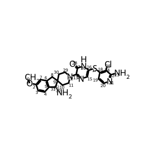 COc1ccc2c(c1)CC1(CCN(c3ncc(Sc4ccnc(N)c4Cl)[nH]c3=O)CC1)[C@@H]2N